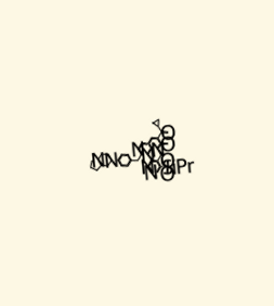 CC(C)S(=O)(=O)c1cnncc1Cn1c(=O)c(C(=O)C2CC2)cc2cnc(Cc3ccc(N4CCN5CCCC5C4)cc3)nc21